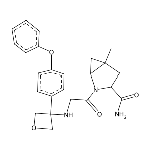 CC12CC(C(N)=O)N(C(=O)CNC3(c4ccc(Oc5ccccc5)cc4)COC3)C1C2